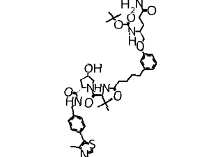 Cc1ncsc1-c1ccc(CNC(=O)[C@@H]2C[C@@H](O)CN2C(=O)[C@@H](NC(=O)CCCCc2cccc(OC[C@H](CCC(N)=O)NC(=O)OC(C)(C)C)c2)C(C)(C)C)cc1